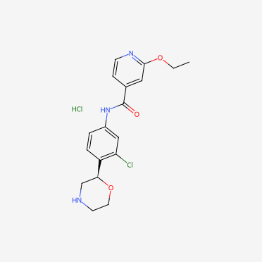 CCOc1cc(C(=O)Nc2ccc([C@@H]3CNCCO3)c(Cl)c2)ccn1.Cl